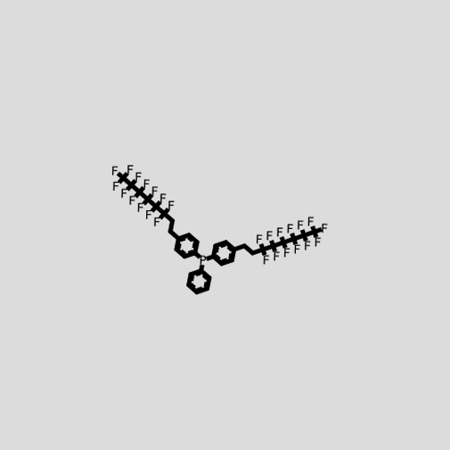 FC(F)(F)C(F)(F)C(F)(F)C(F)(F)C(F)(F)C(F)(F)CCc1ccc(P(c2ccccc2)c2ccc(CCC(F)(F)C(F)(F)C(F)(F)C(F)(F)C(F)(F)C(F)(F)F)cc2)cc1